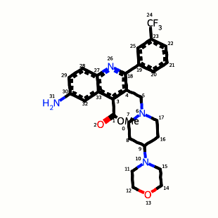 COC(=O)c1c(CN2CCC(N3CCOCC3)CC2)c(-c2cccc(C(F)(F)F)c2)nc2ccc(N)cc12